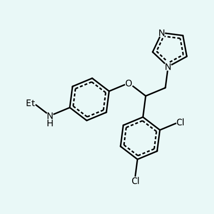 CCNc1ccc(OC(Cn2ccnc2)c2ccc(Cl)cc2Cl)cc1